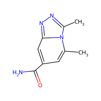 Cc1cc(C(N)=O)cc2nnc(C)n12